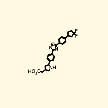 O=C(O)CC1CNC(c2ccc(-c3noc(-c4ccc(C5CCC(F)(F)C5)cc4)n3)cc2)C1